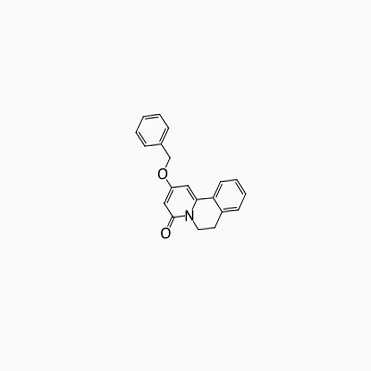 O=c1cc(OCc2ccccc2)cc2n1CCc1ccccc1-2